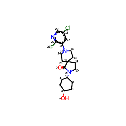 O=C1N([C@H]2CC[C@@H](O)CC2)CCC12CCN(c1cc(Cl)cnc1F)CC2